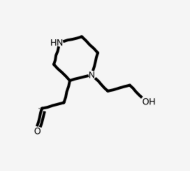 O=[C]CC1CNCCN1CCO